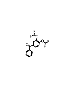 O=C(c1ccccc1)c1ccc(OC(F)F)c(OC(F)F)c1